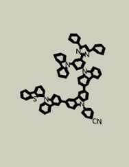 N#Cc1ccc(-n2c3ccc(-c4ccc5c(c4)c4ccccc4n5-c4cc(-c5nc(-c6ccccc6)cc(-c6ccccc6)n5)cc(-n5c6ccccc6c6ccccc65)c4)cc3c3cc(-c4ccc5c(c4)c4ccccc4n5-c4cccc5c4sc4ccccc45)ccc32)cc1